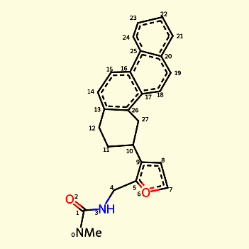 CNC(=O)NCc1occc1C1CCc2ccc3c(ccc4ccccc43)c2C1